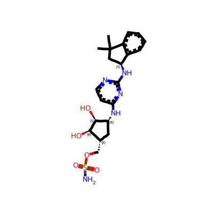 CC1(C)C[C@H](Nc2nccc(N[C@@H]3C[C@H](COS(N)(=O)=O)[C@@H](O)[C@H]3O)n2)c2ccccc21